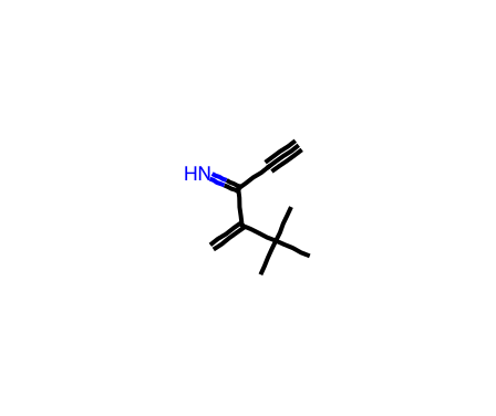 C#CC(=N)C(=C)C(C)(C)C